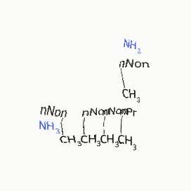 CCCC.CCCCCCCCCC.CCCCCCCCCC.CCCCCCCCCC.CCCCCCCCCC.N.N